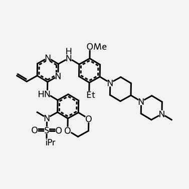 C=Cc1cnc(Nc2cc(CC)c(N3CCC(N4CCN(C)CC4)CC3)cc2OC)nc1Nc1ccc2c(c1N(C)S(=O)(=O)C(C)C)OCCO2